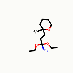 CCOC(N)(CCC1([SiH3])CCCCO1)OCC